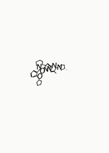 Cc1cn2nc([C@@H]3CCCCN3C(=O)c3ccccc3OC3CCCC3)cc2nc1N1CC[C@H](C)C1